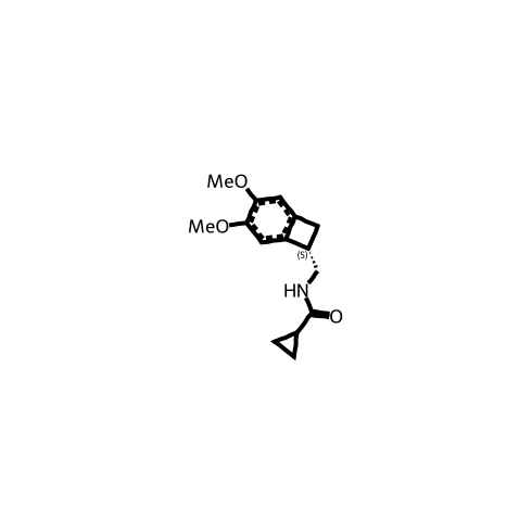 COc1cc2c(cc1OC)[C@@H](CNC(=O)C1CC1)C2